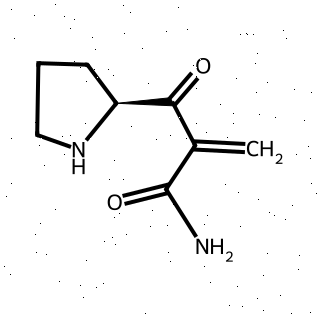 C=C(C(N)=O)C(=O)[C@@H]1CCCN1